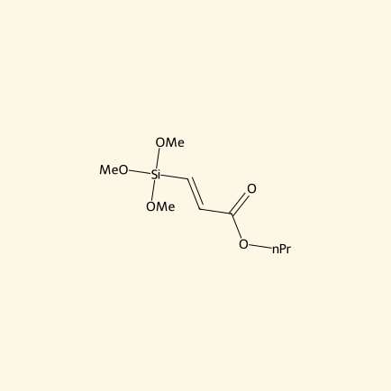 CCCOC(=O)C=C[Si](OC)(OC)OC